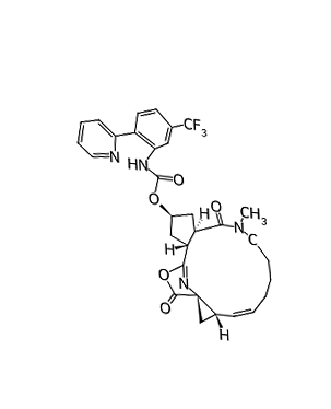 CN1CCCC/C=C\[C@@H]2C[C@@]23N=C(OC3=O)[C@@H]2C[C@@H](OC(=O)Nc3cc(C(F)(F)F)ccc3-c3ccccn3)C[C@H]2C1=O